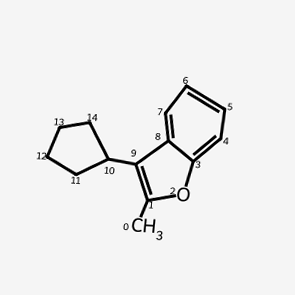 Cc1oc2ccccc2c1C1CCCC1